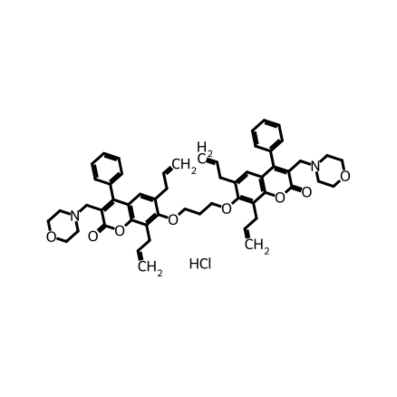 C=CCc1cc2c(-c3ccccc3)c(CN3CCOCC3)c(=O)oc2c(CC=C)c1OCCCOc1c(CC=C)cc2c(-c3ccccc3)c(CN3CCOCC3)c(=O)oc2c1CC=C.Cl